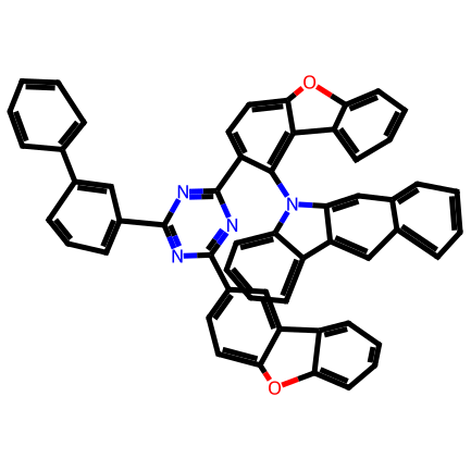 c1ccc(-c2cccc(-c3nc(-c4ccc5oc6ccccc6c5c4)nc(-c4ccc5oc6ccccc6c5c4-n4c5ccccc5c5cc6ccccc6cc54)n3)c2)cc1